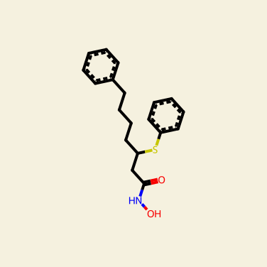 O=C(CC(CCCCc1ccccc1)Sc1ccccc1)NO